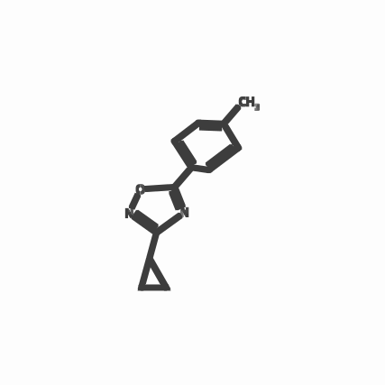 Cc1ccc(-c2nc(C3CC3)no2)cc1